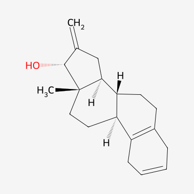 C=C1C[C@H]2[C@@H]3CCC4=C(CC=CC4)[C@H]3CC[C@]2(C)[C@@H]1O